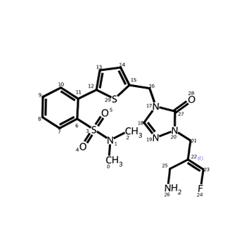 CN(C)S(=O)(=O)c1ccccc1-c1ccc(Cn2cnn(C/C(=C/F)CN)c2=O)s1